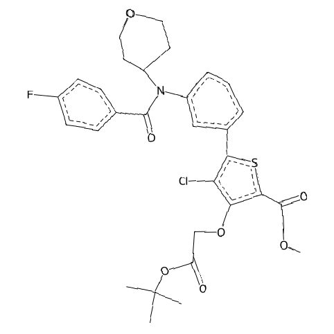 COC(=O)c1sc(-c2cccc(N(C(=O)c3ccc(F)cc3)C3CCOCC3)c2)c(Cl)c1OCC(=O)OC(C)(C)C